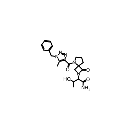 Cc1c(C(=O)N2CCCC23CN(C(C(N)=O)C(C)O)C3=O)nnn1Cc1ccccc1